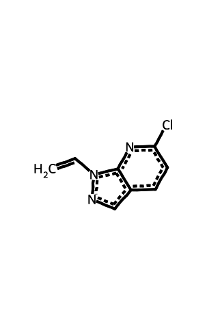 C=Cn1ncc2ccc(Cl)nc21